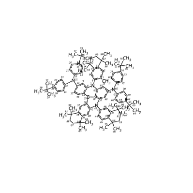 Cc1cc2c(cc1N1c3cc(N(c4ccc(C(C)(C)C)cc4)c4ccc(C(C)(C)C)cc4)ccc3B3c4cc5c(cc4N(c4ccc6c(c4)C(C)(C)CCC6(C)C)c4cc(N(c6ccc(C(C)(C)C)cc6)c6ccc(C(C)(C)C)cc6)cc1c43)C(C)(C)CCC5(C)C)C(C)(C)CCC2(C)C